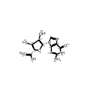 C=C(O)[C@H]1O[C@@H](n2cnc3c(=O)[nH]c(N)nc32)[C@H](O)[C@@H]1O